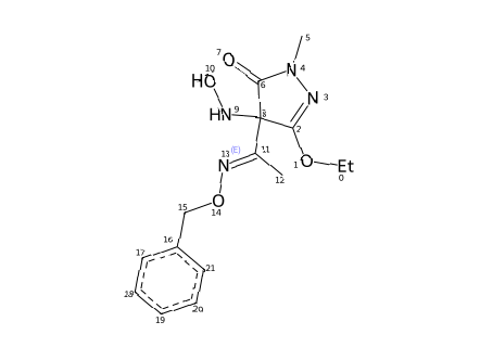 CCOC1=NN(C)C(=O)C1(NO)/C(C)=N/OCc1ccccc1